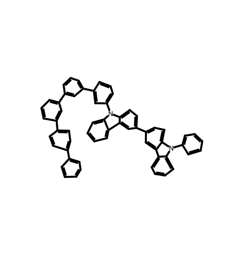 c1ccc(-c2ccc(-c3cccc(-c4cccc(-c5cccc(-n6c7ccccc7c7cc(-c8ccc9c(c8)c8ccccc8n9-c8ccccc8)ccc76)c5)c4)c3)cc2)cc1